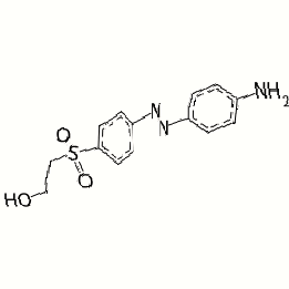 Nc1ccc(N=Nc2ccc(S(=O)(=O)CCO)cc2)cc1